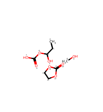 CCC(O)OC(=O)O.CO.O=C1OCCO1